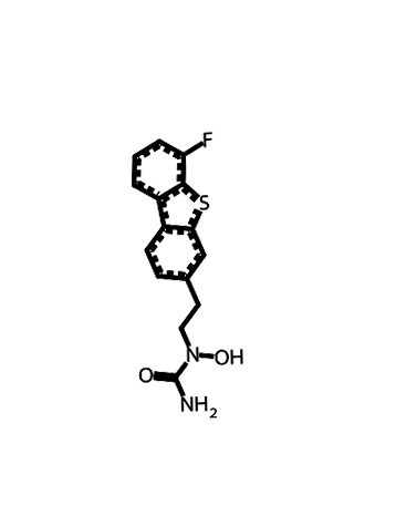 NC(=O)N(O)CCc1ccc2c(c1)sc1c(F)cccc12